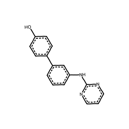 Oc1ccc(-c2cccc(Nc3ncccn3)c2)cc1